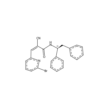 N#CC(=Cc1cccc(Br)n1)C(=O)N[C@@H](Cc1ccccc1)c1ccccc1